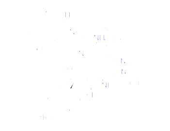 Cc1cccc(C)c1-c1cc2nc(n1)NS(=O)(=O)c1cc(n(C)n1)N[C@H](C)[C@@H](c1ccc(C(C)(C)C)cc1)O2